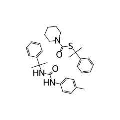 CC(C)(SC(=O)N1CCCCC1)c1ccccc1.Cc1ccc(NC(=O)NC(C)(C)c2ccccc2)cc1